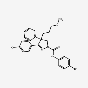 CSCCCC1(c2ccccc2)CN(C(=O)Nc2ccc(Br)cc2)N=C1c1ccc(Cl)cc1